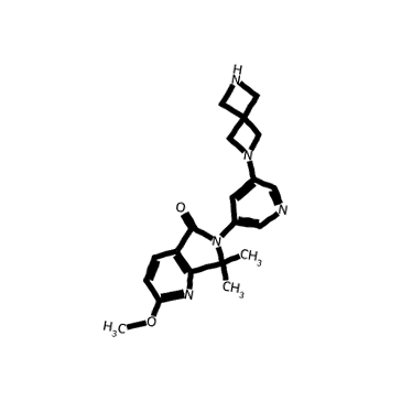 COc1ccc2c(n1)C(C)(C)N(c1cncc(N3CC4(CNC4)C3)c1)C2=O